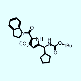 CC(C)(C)OC(=O)N[C@H](c1ccc(C(=O)N2c3ccccc3C[C@H]2C(=O)O)[nH]1)C1CCCC1